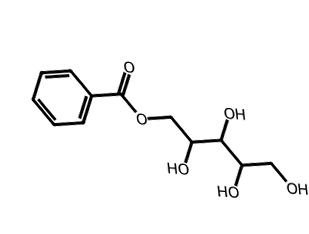 O=C(OCC(O)C(O)C(O)CO)c1ccccc1